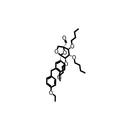 CCCCO[C@@H]1[C@@H](OCCCC)[C@@]2(c3ccc(Cl)c(Cc4ccc(OCC)cc4)c3)OC[C@](C=O)(O2)[C@H]1OCCCC